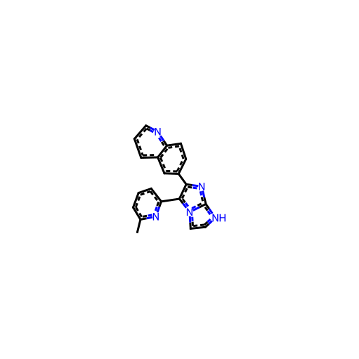 Cc1cccc(-c2c(-c3ccc4ncccc4c3)nc3[nH]ccn23)n1